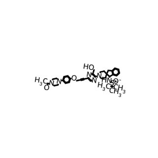 CC(=O)N1CCN(c2ccc(OCC#Cc3cnc(N4CCC5(CC4)Cc4ccccc4C5N[S+]([O-])C(C)(C)C)c(CO)n3)cc2)CC1